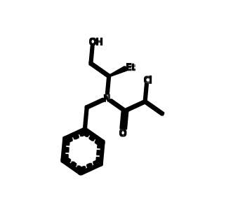 CC[C@H](CO)N(Cc1ccccc1)C(=O)C(C)Cl